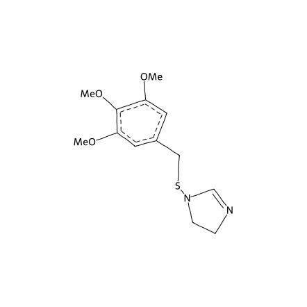 COc1cc(CSN2C=NCC2)cc(OC)c1OC